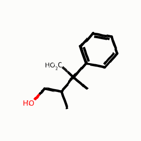 CC(CO)C(C)(C(=O)O)c1ccccc1